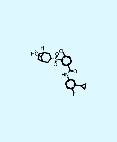 C[C@H]1CC2C[C@@H](S(=O)(=O)c3cc(C(=O)Nc4ccc(F)c(C5CC5)c4)ccc3Cl)C[C@H]1[C@]2(C)O